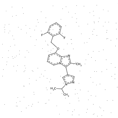 Cc1nc2c(OCc3c(F)cccc3F)cccn2c1-c1cnn(C(C)C)c1